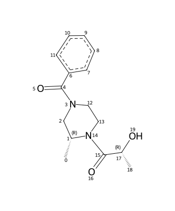 C[C@@H]1CN(C(=O)c2ccccc2)CCN1C(=O)[C@@H](C)O